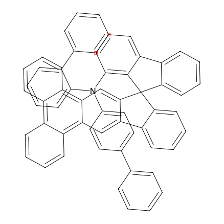 c1ccc(-c2ccc(N(c3ccccc3-c3ccccc3)c3cccc4c3C3(c5ccccc5-c5cc6c7ccccc7c7ccccc7c6cc53)c3ccccc3-4)cc2)cc1